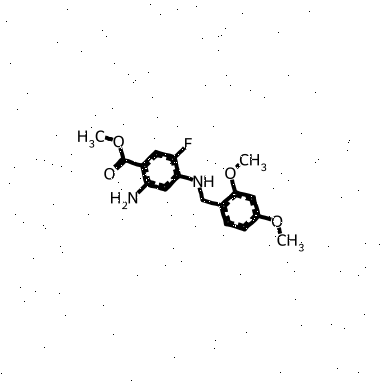 COC(=O)c1cc(F)c(NCc2ccc(OC)cc2OC)cc1N